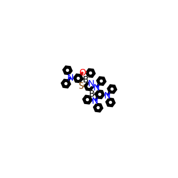 c1ccc(N(c2ccccc2)c2cc3c4c(c2)Sc2cc5c(nc2B4c2ccccc2O3)N(c2ccccc2)c2cc(N(c3ccccc3)c3ccccc3)cc3c2B5c2ccccc2N3c2ccccc2)cc1